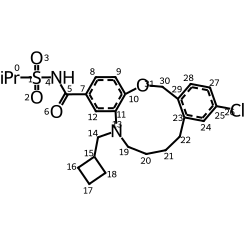 CC(C)S(=O)(=O)NC(=O)c1ccc2c(c1)N(CC1CCC1)CCCCc1cc(Cl)ccc1CO2